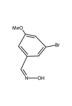 COc1cc(Br)cc(/C=N\O)c1